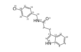 O=C(CCc1c[nH]c2ccccc12)NCc1ccc(Cl)cc1